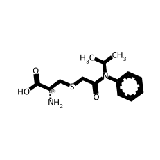 CC(C)N(C(=O)CSC[C@H](N)C(=O)O)c1ccccc1